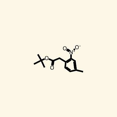 Cc1ccc(CC(=O)OC(C)(C)C)c([N+](=O)[O-])c1